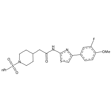 CCCS(=O)(=O)N1CCC(CC(=O)Nc2nc(-c3ccc(OC)c(F)c3)cs2)CC1